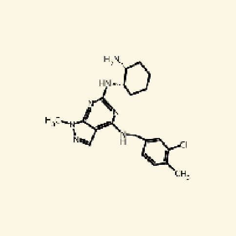 Cc1ccc(CNc2nc(N[C@H]3CCCC[C@H]3N)nc3c2cnn3C)cc1Cl